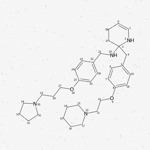 C1=CNC(Cc2ccc(OCCN3CCCCC3)cc2)(NCc2ccc(OCCCN3CCCC3)cc2)CC1